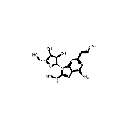 CCCCC=Cc1nc(N)c2nc(NCCC)n([C@@H]3O[C@H](CO)C(O)C3O)c2n1